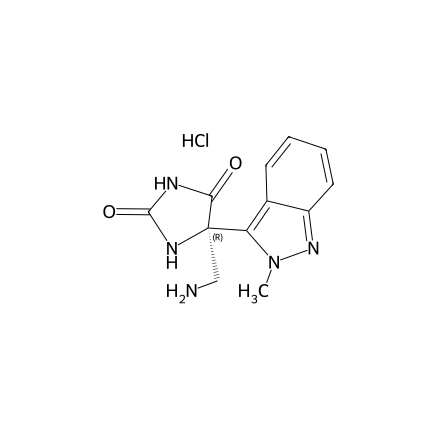 Cl.Cn1nc2ccccc2c1[C@@]1(CN)NC(=O)NC1=O